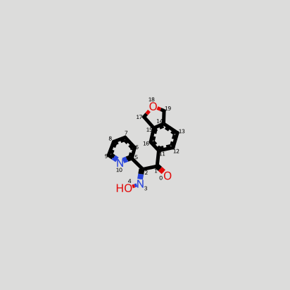 O=C(/C(=N/O)c1ccccn1)c1ccc2c(c1)COC2